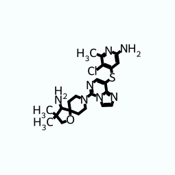 Cc1nc(N)cc(Sc2cnc(N3CCC4(CC3)OCC(C)(C)C4N)n3ccnc23)c1Cl